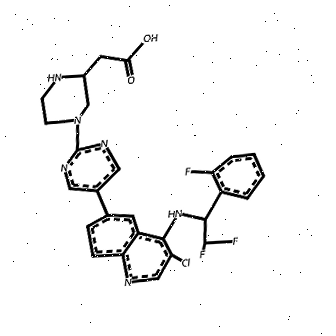 O=C(O)CC1CN(c2ncc(-c3ccc4ncc(Cl)c(NC(c5ccccc5F)C(F)F)c4c3)cn2)CCN1